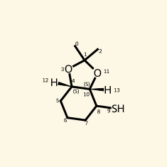 CC1(C)O[C@H]2CCCC(S)[C@H]2O1